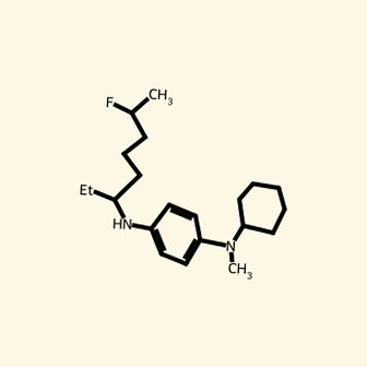 CCC(CCCC(C)F)Nc1ccc(N(C)C2CCCCC2)cc1